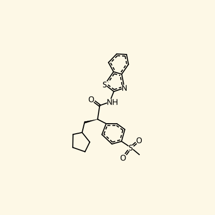 CS(=O)(=O)c1ccc([C@@H](CC2CCCC2)C(=O)Nc2nc3ccccc3s2)cc1